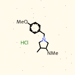 CNC1CN(Cc2ccc(OC)cc2)CC1C.Cl